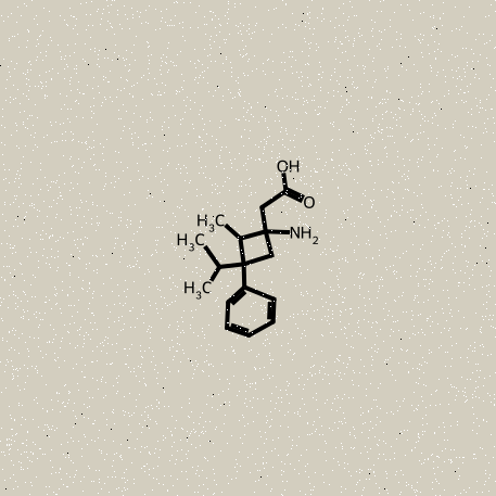 CC(C)C1(c2ccccc2)CC(N)(CC(=O)O)C1C